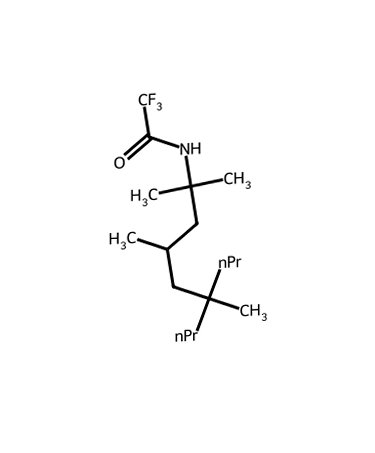 CCCC(C)(CCC)CC(C)CC(C)(C)NC(=O)C(F)(F)F